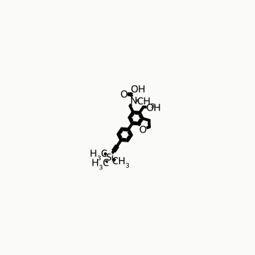 CN(Cc1cc(-c2ccc(C#C[Si](C)(C)C)cc2)c2c(c1CO)CCO2)C(=O)O